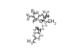 C=C(CCCn1ncc2cc(C)ccc21)C(=O)N1N=CCC1c1cc(F)c(C2CC2)c(F)c1